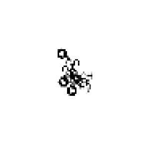 CC(C)(C)[Si](N[C@@H](CC(C(N)=O)C(=O)OCc1ccccc1)C(=O)O)(c1ccccc1)c1ccccc1